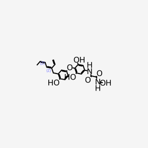 C=C/C(=C\C=C/C)Cc1cc(Oc2c(O)cc(NC(=O)C(=O)NO)cc2O)ccc1O